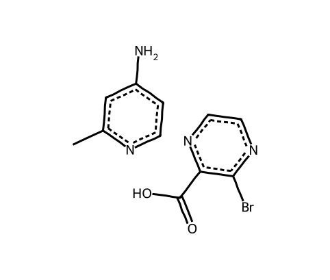 Cc1cc(N)ccn1.O=C(O)c1nccnc1Br